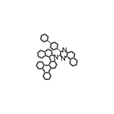 c1ccc(-c2ccc(-c3nc4ccc5ccccc5c4nc3-n3c4ccc5ccccc5c4c4c5c6ccccc6c6ccccc6c5ccc43)cc2)cc1